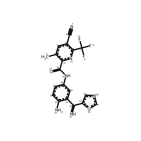 Cc1cc(C#N)c(C(F)(F)F)nc1C(=O)Nc1ccc(N)c(C(=N)c2cnco2)c1